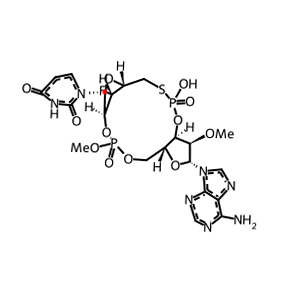 CO[C@@H]1[C@@H]2OP(=O)(O)SC[C@H]3O[C@@H](n4ccc(=O)[nH]c4=O)[C@H](OP(=O)(OC)OC[C@H]2O[C@H]1n1cnc2c(N)ncnc21)[C@@H]3F